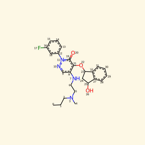 CCCN(C)CCNc1cnn(-c2cccc(F)c2)c(=O)c1OC1CC(O)c2ccccc21